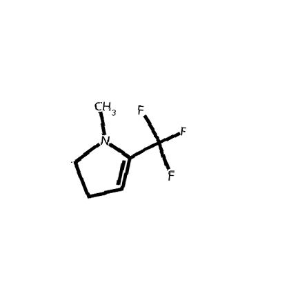 CN1[CH]CC=C1C(F)(F)F